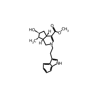 COC(=O)C1=CN(CCc2c[nH]c3ccccc23)C[C@@H]2[C@@H](C)[C@@H](O)C[C@H]12